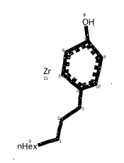 CCCCCCCCCc1ccc(O)cc1.[Zr]